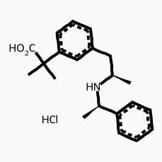 C[C@H](Cc1cccc(C(C)(C)C(=O)O)c1)N[C@H](C)c1ccccc1.Cl